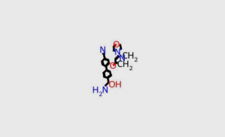 C=N/C(=C\C(=C)Oc1cc(C#N)ccc1-c1ccc(C(O)CN)cc1)N1CCOCC1